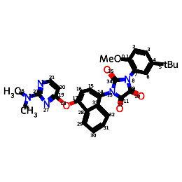 COc1ccc(C(C)(C)C)cc1N1C(=O)C(=O)N(c2ccc(Oc3ccnc(N(C)C)n3)c3ccccc23)C1=O